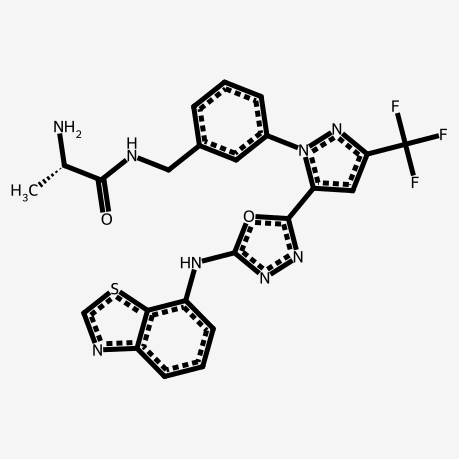 C[C@H](N)C(=O)NCc1cccc(-n2nc(C(F)(F)F)cc2-c2nnc(Nc3cccc4ncsc34)o2)c1